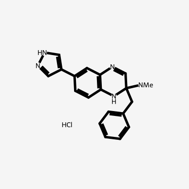 CNC1(Cc2ccccc2)C=Nc2cc(-c3cn[nH]c3)ccc2N1.Cl